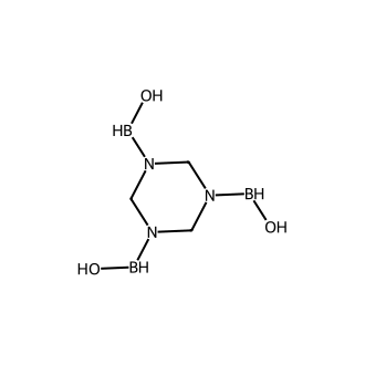 OBN1CN(BO)CN(BO)C1